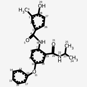 Cc1cc(C(=O)Nc2ccc(Oc3ccccc3)cc2C(=O)NC(C)C)ccc1O